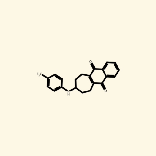 O=C1C2=C(CCC(Nc3ccc(C(F)(F)F)cc3)CC2)C(=O)c2ccccc21